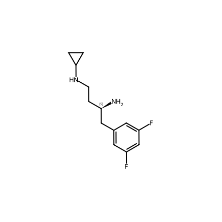 N[C@H](CCNC1CC1)Cc1cc(F)cc(F)c1